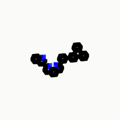 c1cc(-c2ccc3c4ccccc4c4ccccc4c3c2)cc(-c2ccc3ccc4ccc(-c5cnc6ccccc6c5)nc4c3n2)c1